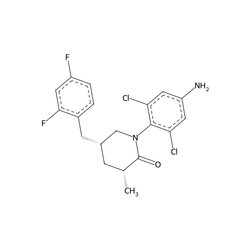 C[C@@H]1C[C@H](Cc2ccc(F)cc2F)CN(c2c(Cl)cc(N)cc2Cl)C1=O